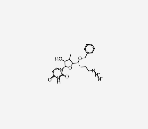 CC1[C@H](O)[C@H](n2ccc(=O)[nH]c2=O)O[C@@H]1[C@@H](CCCN=[N+]=[N-])OCc1ccccc1